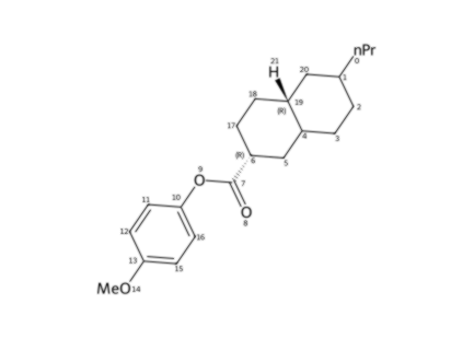 CCCC1CCC2C[C@H](C(=O)Oc3ccc(OC)cc3)CC[C@@H]2C1